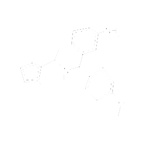 COc1ccc(C(NC(C)c2cccs2)c2cccc(N)c2)cc1